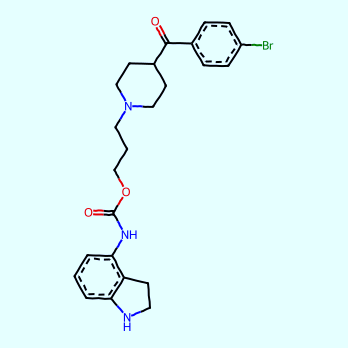 O=C(Nc1cccc2c1CCN2)OCCCN1CCC(C(=O)c2ccc(Br)cc2)CC1